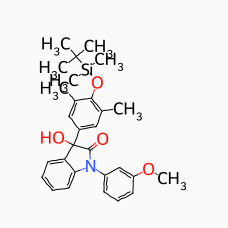 COc1cccc(N2C(=O)C(O)(c3cc(C)c(O[Si](C)(C)C(C)(C)C)c(C)c3)c3ccccc32)c1